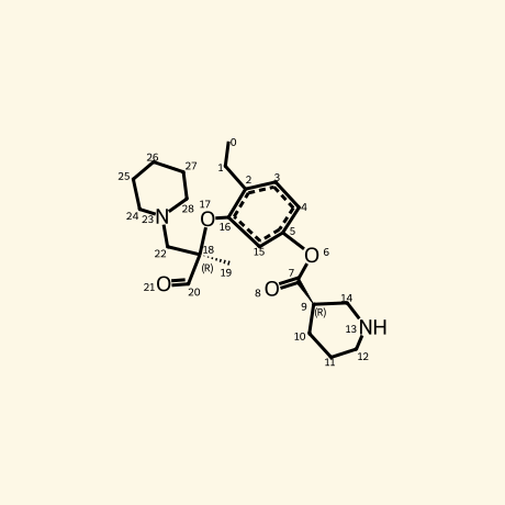 CCc1ccc(OC(=O)[C@@H]2CCCNC2)cc1O[C@@](C)(C=O)CN1CCCCC1